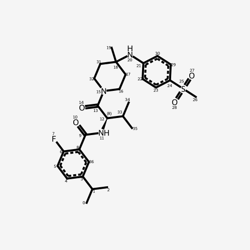 CC(C)c1ccc(F)c(C(=O)N[C@@H](C(=O)N2CCC(C)(Nc3ccc(S(C)(=O)=O)cc3)CC2)C(C)C)c1